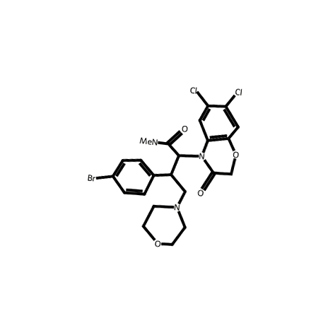 CNC(=O)C(C(CN1CCOCC1)c1ccc(Br)cc1)N1C(=O)COc2cc(Cl)c(Cl)cc21